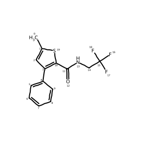 Cc1cc(-c2ccccc2)c(C(=O)NCC(F)(F)F)s1